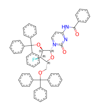 O=C(Nc1ccn([C@@H]2O[C@H](COC(c3ccccc3)(c3ccccc3)c3ccccc3)[C@@H](F)[C@H]2OC(c2ccccc2)(c2ccccc2)c2ccccc2)c(=O)n1)c1ccccc1